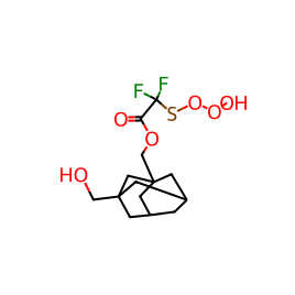 O=C(OCC12CC3CC(CC(CO)(C3)C1)C2)C(F)(F)SOOO